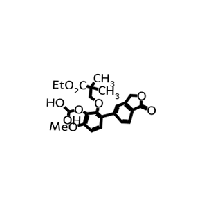 CCOC(=O)C(C)(C)COc1c(-c2ccc3c(c2)COC3=O)ccc(OC)c1OC(O)O